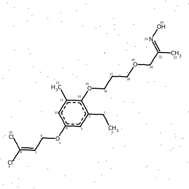 CCc1cc(OCC=C(Cl)Cl)cc(C)c1OCCCOCC(C)=NO